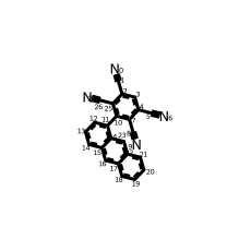 N#Cc1cc(C#N)c(C#N)c(-c2cccc3cc4ccccc4cc23)c1C#N